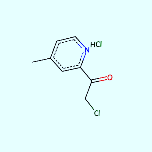 Cc1ccnc(C(=O)CCl)c1.Cl